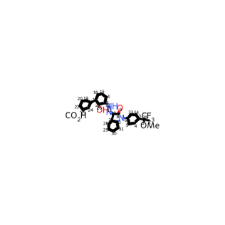 COC(C)(c1ccc(N2C(=O)C(=NNc3cccc(-c4cccc(C(=O)O)c4)c3O)c3ccccc32)cc1)C(F)(F)F